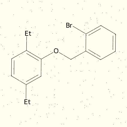 CCc1ccc(CC)c(OCc2ccccc2Br)c1